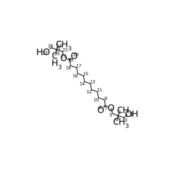 CC(C)(CO)COC(=O)CCCCCCCCCCC(=O)OCC(C)(C)CO